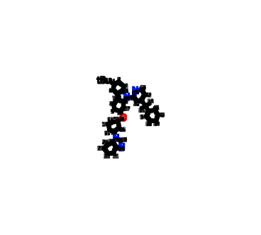 CC(C)(C)c1ccc2c(c1)c1ccc(Oc3cccc(-n4cnc5ccccc54)c3)cc1n2-c1cc(C(C)(C)c2ccccc2)ccn1